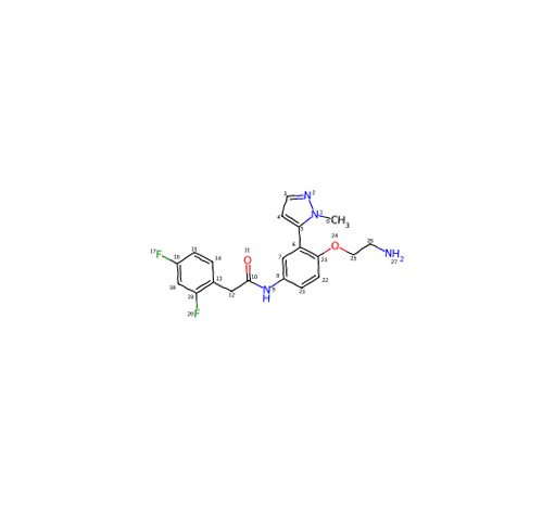 Cn1nccc1-c1cc(NC(=O)Cc2ccc(F)cc2F)ccc1OCCN